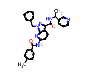 Cc1ccc(C(=O)Nc2ccc3c(C(=O)NC(C)c4cccnc4)nn(Cc4ccccc4)c3n2)cc1